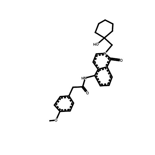 COc1ccc(CC(=O)Nc2cccc3c(=O)n(CC4(O)CCCCC4)ccc23)cc1